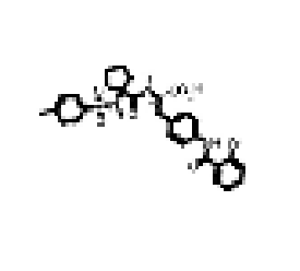 Cc1ccc(S(=O)(=O)N(C)C2(C(=O)N[C@@H](Cc3ccc(NC(=O)c4ccccc4Br)cc3)C(=O)O)CCCC2)cc1